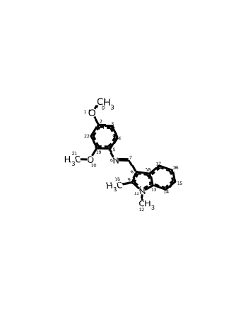 COc1ccc(N=Cc2c(C)n(C)c3ccccc23)c(OC)c1